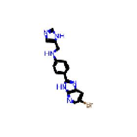 Brc1cnc2[nH]c(-c3ccc(NCc4cnc[nH]4)cc3)nc2c1